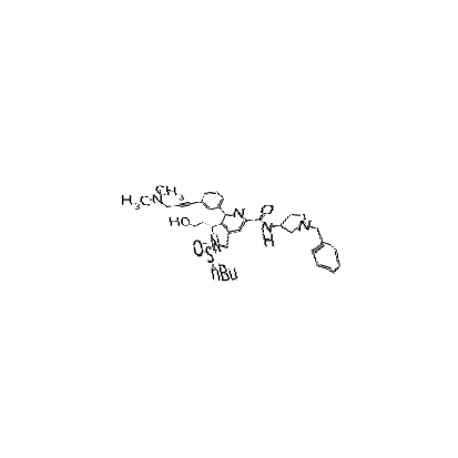 CCCC[S@@+]([O-])N1Cc2cc(C(=O)N[C@H]3CCN(Cc4ccccc4)C3)nc(-c3cccc(C#CCN(C)C)c3)c2[C@H]1CCO